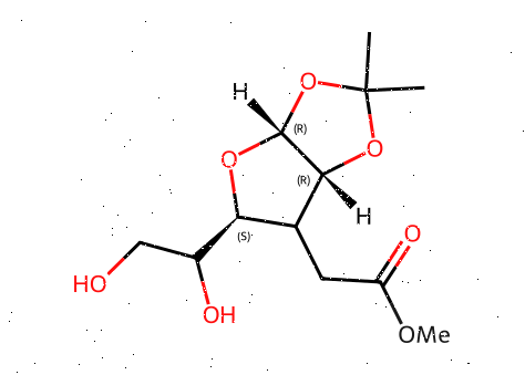 COC(=O)CC1[C@@H](C(O)CO)O[C@@H]2OC(C)(C)O[C@H]12